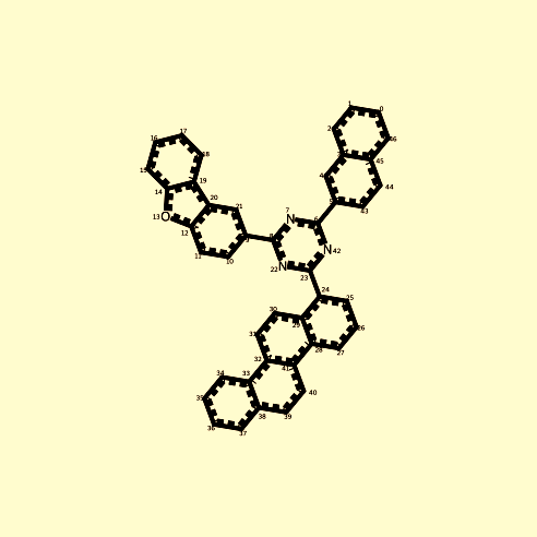 c1ccc2cc(-c3nc(-c4ccc5oc6ccccc6c5c4)nc(-c4cccc5c4ccc4c6ccccc6ccc54)n3)ccc2c1